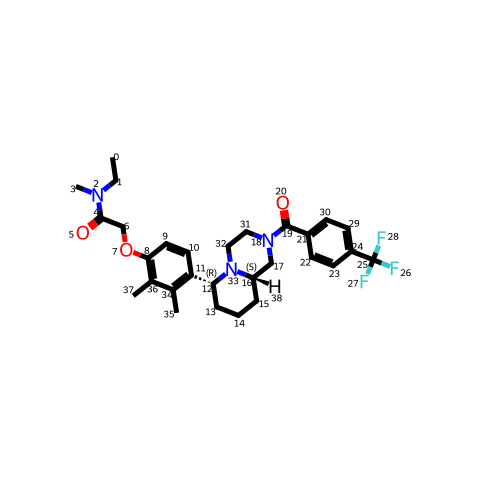 CCN(C)C(=O)COc1ccc([C@H]2CCC[C@H]3CN(C(=O)c4ccc(C(F)(F)F)cc4)CCN32)c(C)c1C